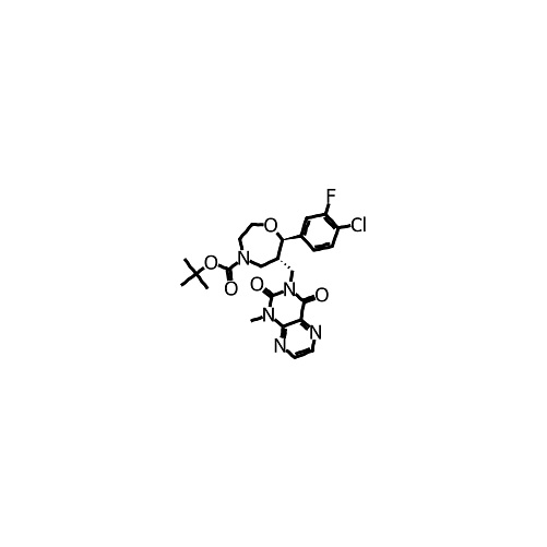 Cn1c(=O)n(C[C@@H]2CN(C(=O)OC(C)(C)C)CCO[C@H]2c2ccc(Cl)c(F)c2)c(=O)c2nccnc21